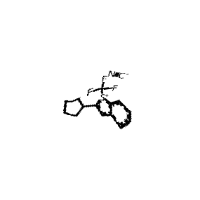 FC(F)(F)[s+]1c(C2CCCC2)cc2ccccc21.[C-]#N